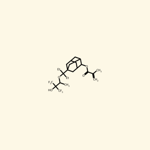 C=C(C)C(=O)OC1C2CC3CC1CC(C(CC)(CC)OC(C)C(O)(C(F)(F)F)C(F)(F)F)(C3)C2